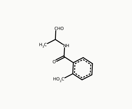 CC(C=O)NC(=O)c1ccccc1C(=O)O